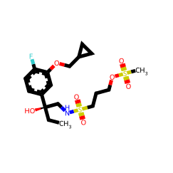 CC[C@@](O)(CNS(=O)(=O)CCCOS(C)(=O)=O)c1ccc(F)c(OCC2CC2)c1